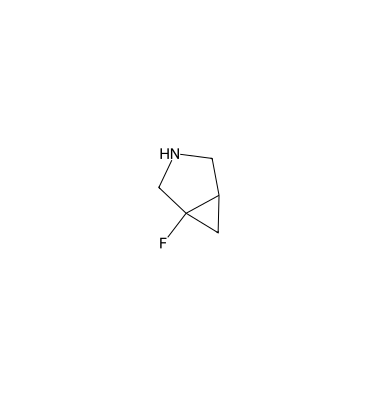 FC12CNCC1C2